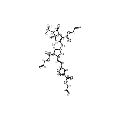 C=CCOC(=O)C1=C(S[C@H]2C[C@@H](/C=C/c3cc(C(=O)OCC=C)no3)N(C(=O)OCC=C)C2)[C@H](C)[C@@H]2[C@@H]([C@@H](C)O)C(=O)N12